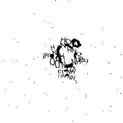 CCC(NC(=N)N)[C@@H]1NC(=O)[C@](C)(NC(=O)C(C)C)CCNC(=O)[C@@H](c2ccccc2)NC(=O)[C@H]([C@@H](C)CC)NC1=O